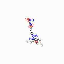 COCC(C)(C)NCCNc1ccc(-c2ccc(S(=O)(=O)N3CC=C(C(=O)NO)CC3)cc2)cc1